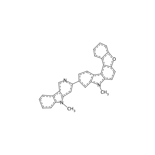 Cn1c2ccccc2c2cnc(-c3ccc4c5c6c(ccc5n(C)c4c3)oc3ccccc36)cc21